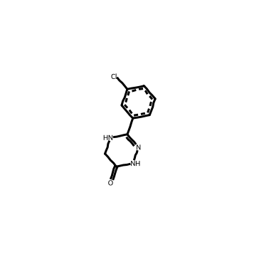 O=C1CNC(c2cccc(Cl)c2)=NN1